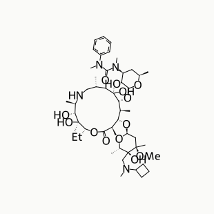 CC[C@H]1OC(=O)[C@H](C)[C@@H](O[C@H]2C[C@@](C)(OC)[C@](O)(CN(C)C3CCC3)[C@H](C)O2)[C@H](C)[C@@H](O[C@@H]2O[C@H](C)C[C@H](N(C)C(=O)N(C)c3ccccc3)[C@H]2O)[C@](C)(O)C[C@@H](C)CN[C@H](C)[C@@H](O)[C@]1(C)O